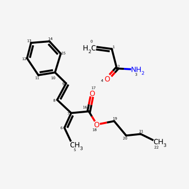 C=CC(N)=O.CC=C(C=Cc1ccccc1)C(=O)OCCCC